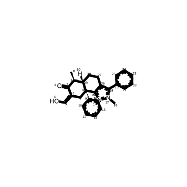 C[C@@H]1C(=O)C(=CO)C[C@]2(c3ccccc3)c3nn(C)c(-c4ccccc4)c3CC[C@@H]12